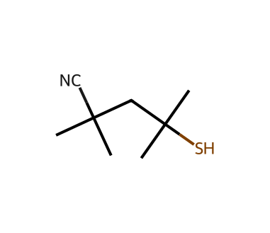 CC(C)(S)CC(C)(C)C#N